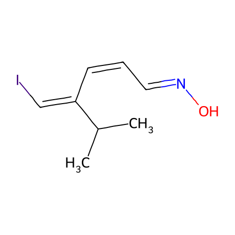 CC(C)C(/C=C\C=N\O)=C/I